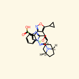 O=C(O)c1cn2nc(N3[C@@H]4CC[C@H]3C[C@@H](OCc3c(-c5c(F)cccc5F)noc3C3CC3)C4)ccc2n1